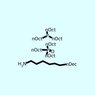 CCCCCCCCCCCCCCCCN.CCCCCCCCP(=O)(CCCCCCCC)CCCCCCCC.CCCCCCCCP(CCCCCCCC)CCCCCCCC